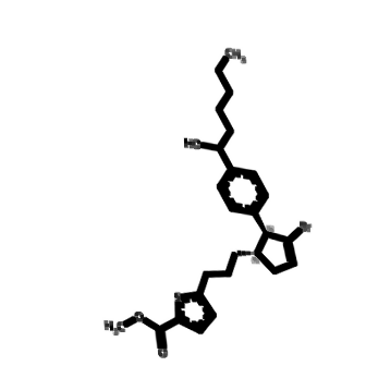 CCCCCC(O)c1ccc([C@H]2C(Br)=CC[C@@H]2CCCc2ccc(C(=O)OC)s2)cc1